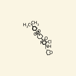 CC(C)c1ccc(S(=O)(=O)N2CCC(n3ncc(NC[C@H]4CCCOC4)c(Cl)c3=O)CC2)cc1